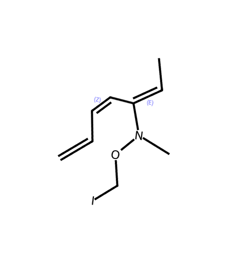 C=C/C=C\C(=C/C)N(C)OCI